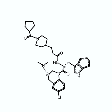 CN(C)C[C@H]1Cc2cc(Cl)ccc2N(C(=O)[C@@H](Cc2c[nH]c3ccccc23)NC(=O)CCC2CCN(C(=O)C3CCCC3)CC2)C1